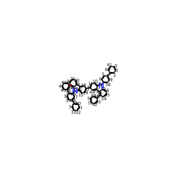 c1ccc(-c2ccc(-n3c4ccc(-c5ccc6c(c5)c5ccccc5n6-c5cc(-c6ccccc6)ccc5-c5ccccc5)cc4c4c(-c5ccccc5)cccc43)cc2)cc1